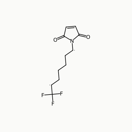 O=C1C=CC(=O)N1[CH]CCCC[CH]C(F)(F)F